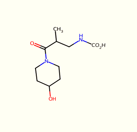 CC(CNC(=O)O)C(=O)N1CCC(O)CC1